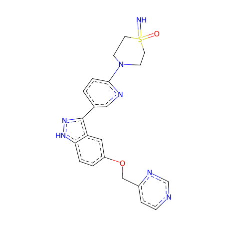 N=S1(=O)CCN(c2ccc(-c3n[nH]c4ccc(OCc5ccncn5)cc34)cn2)CC1